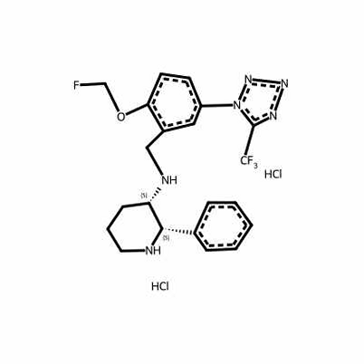 Cl.Cl.FCOc1ccc(-n2nnnc2C(F)(F)F)cc1CN[C@H]1CCCN[C@H]1c1ccccc1